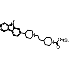 Cn1c2ccncc2c2ccc(C3CCN(CCC4CCN(C(=O)OC(C)(C)C)CC4)CC3)cc21